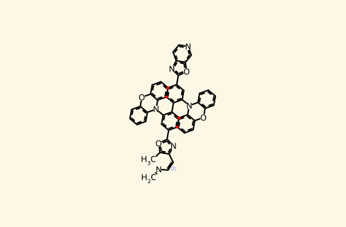 C=N/C=C\c1nc(-c2ccc(-c3ccc(-c4nc5ccncc5o4)cc3N3c4ccccc4Oc4ccccc43)c(N3c4ccccc4Oc4ccccc43)c2)oc1C